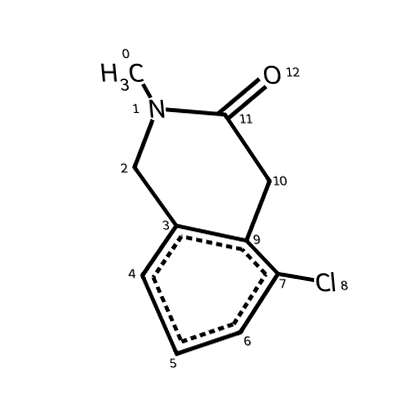 CN1Cc2cccc(Cl)c2CC1=O